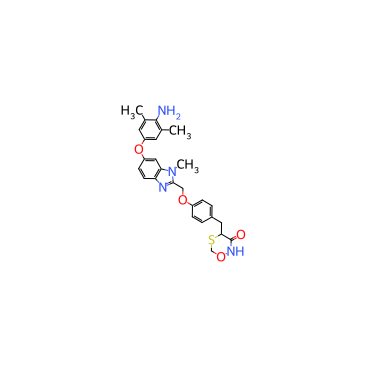 Cc1cc(Oc2ccc3nc(COc4ccc(CC5SCONC5=O)cc4)n(C)c3c2)cc(C)c1N